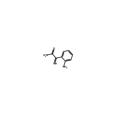 N=C(C(N)=O)c1ccccc1N